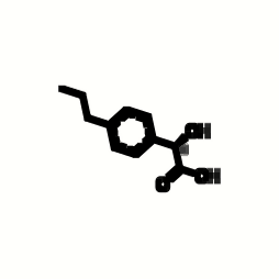 CCCc1ccc([C@@H](O)C(=O)O)cc1